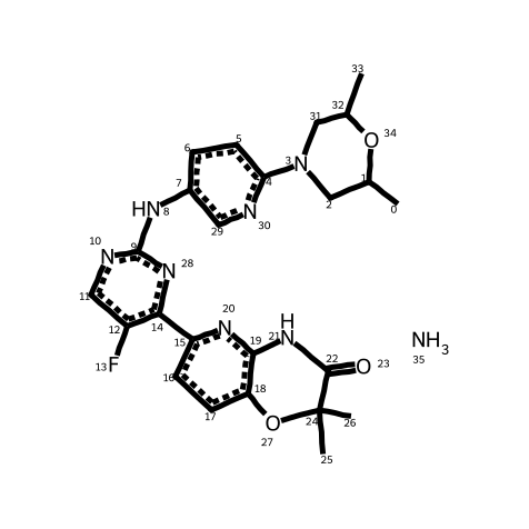 CC1CN(c2ccc(Nc3ncc(F)c(-c4ccc5c(n4)NC(=O)C(C)(C)O5)n3)cn2)CC(C)O1.N